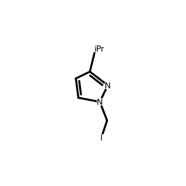 CC(C)c1ccn(CI)n1